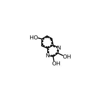 Oc1ccc2nc(O)c(O)nc2c1